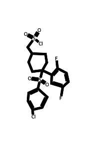 O=S(=O)(Cl)CC1CCC(c2cc(F)ccc2F)(S(=O)(=O)c2ccc(Cl)cc2)CC1